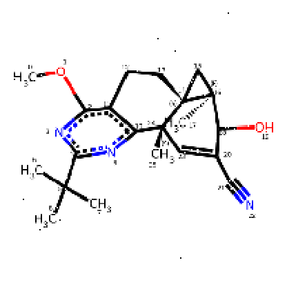 COc1nc(C(C)(C)C)nc2c1CC[C@@]13C[C@@]1(C)C(O)C(C#N)=C[C@]23C